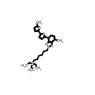 CC[N+](CC)(CC)CCCCCCn1nc2c(C)ccc(-c3ccc(-c4ccc(C)s4)s3)c2n1